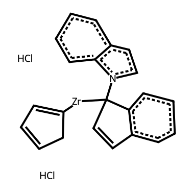 C1=CC[C]([Zr][C]2(n3ccc4ccccc43)C=Cc3ccccc32)=C1.Cl.Cl